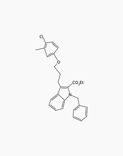 CCOC(=O)c1c(CCCOc2ccc(Cl)c(C)c2)c2ccccc2n1Cc1ccccc1